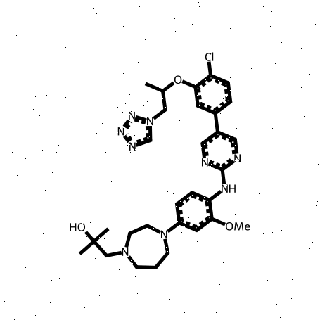 COc1cc(N2CCCN(CC(C)(C)O)CC2)ccc1Nc1ncc(-c2ccc(Cl)c(OC(C)Cn3cnnn3)c2)cn1